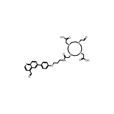 O=CCN1CCN(CC(=O)O)CCN(CC(=O)NCCCSc2ccc(-c3ccc4nccc(C=O)c4c3)cc2)CCN(CC(=O)O)CC1